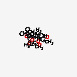 CCC(C)(C)C(=O)O[C@H]1C[C@@H](C)C(=O)[C@@H]2C=C[C@H](C)[C@H](CC[C@@H]3C[C@@H](O[Si](c4ccccc4)(c4ccccc4)C(C)(C)C)CC(=O)O3)[C@@H]12